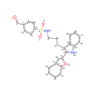 O=Cc1ccc(S(=O)(=O)NCCCc2c(-c3cc4ccccc4o3)[nH]c3ccccc23)cc1